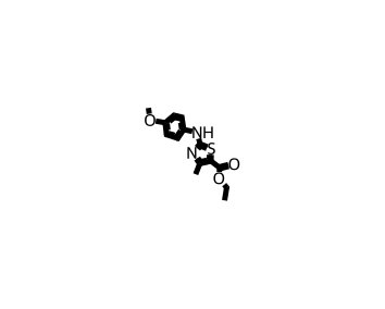 CCOC(=O)c1sc(Nc2ccc(OC)cc2)nc1C